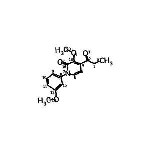 CCC(=O)c1ccn(-c2cccc(OC)c2)c(=O)c1OC